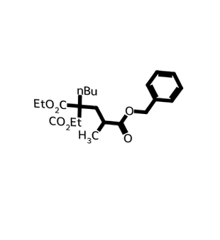 CCCCC(CC(C)C(=O)OCc1ccccc1)(C(=O)OCC)C(=O)OCC